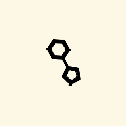 [c]1cc[c]c(-c2ccsc2)c1